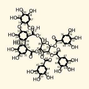 O=C(O[C@@H]1O[C@@H]2COC(=O)c3cc(Oc4c(C(=O)O)cc(O)c(O)c4O)c(O)c(O)c3-c3c(cc(O)c(O)c3O)C(=O)O[C@H]2[C@H](OC(=O)c2cc(O)c(O)c(O)c2)[C@H]1OC(=O)c1cc(O)c(O)c(O)c1)c1cc(O)c(O)c(O)c1